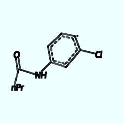 CCCC(=O)Nc1cc[c]c(Cl)c1